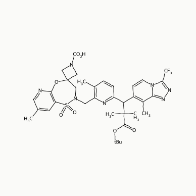 Cc1cnc2c(c1)S(=O)(=O)N(Cc1nc(C(c3ccn4c(C(F)(F)F)nnc4c3C)C(C)(C)C(=O)OC(C)(C)C)ccc1C)CC1(CN(C(=O)O)C1)O2